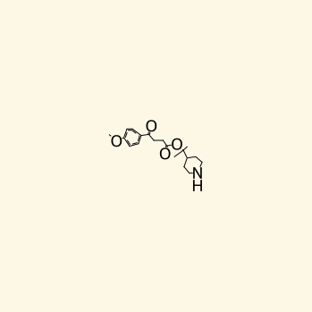 COc1ccc(C(=O)CCC(=O)OC(C)(C)C2CCNCC2)cc1